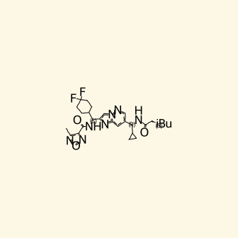 CC[C@H](C)CC(=O)N[C@@H](c1cnn2cc([C@@H](NC(=O)c3nonc3C)C3CCC(F)(F)CC3)nc2c1)C1CC1